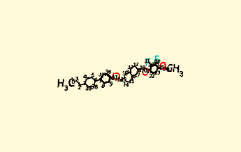 CCCC1CCC(c2ccc(OCC3CCC4CC(COc5ccc(OCC)c(F)c5F)CCC4C3)cc2)CC1